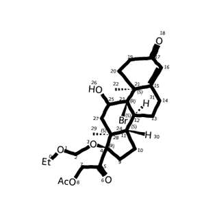 CCOCO[C@]1(C(=O)COC(C)=O)CC[C@H]2[C@@H]3CCC4=CC(=O)CC[C@]4(C)[C@@]3(Br)C(O)C[C@@]21C